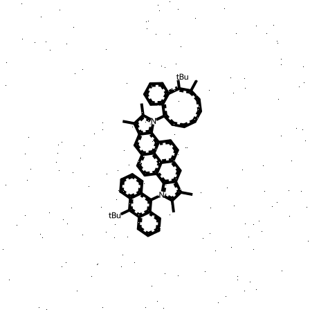 Cc1cccccc(-n2c(C)c(C)c3cc4ccc5c6c(ccc(c46)c32)cc2c(C)c(C)n(-c3c4ccccc4c(C(C)(C)C)c4ccccc34)c25)c2ccccc2c1C(C)(C)C